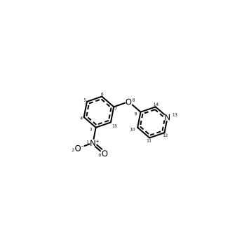 O=[N+]([O-])c1cccc(Oc2cccnc2)c1